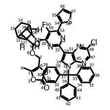 Cc1oc(=O)oc1COC(=O)[C@H]1C2CCC(CC2)[C@@H]1Nc1nc(-c2cn(C(c3ccccc3)(c3ccccc3)c3ccccc3)c3ncc(Cl)nc23)nc(-c2cccs2)c1F